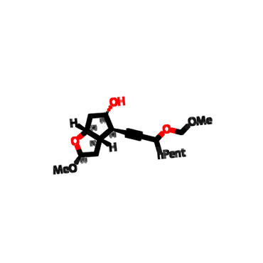 CCCCCC(C#C[C@H]1[C@@H]2C[C@@H](OC)O[C@@H]2C[C@@H]1O)OCOC